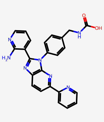 Nc1ncccc1-c1nc2ccc(-c3ccccn3)nc2n1-c1ccc(CNC(=O)O)cc1